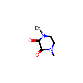 [CH2]CN1CCN(C)C(=O)C1=O